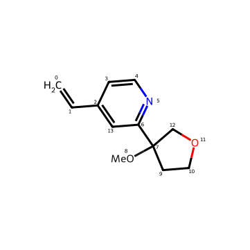 C=Cc1ccnc(C2(OC)CCOC2)c1